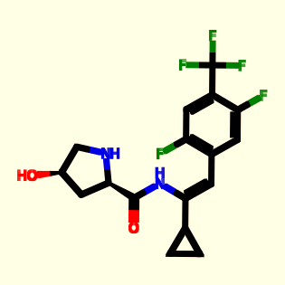 O=C(NC(=Cc1cc(F)c(C(F)(F)F)cc1F)C1CC1)[C@H]1C[C@@H](O)CN1